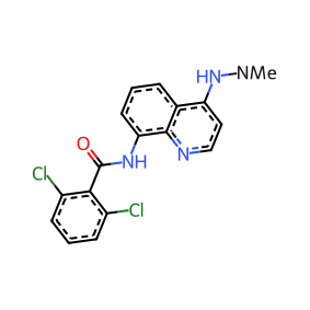 CNNc1ccnc2c(NC(=O)c3c(Cl)cccc3Cl)cccc12